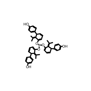 CC(C)=C1C(OP(OC2=CC=CC(c3ccc(O)cc3)C2=C(C)C)OC2=CC=CC(c3ccc(O)cc3)C2=C(C)C)=CC=CC1c1ccc(O)cc1